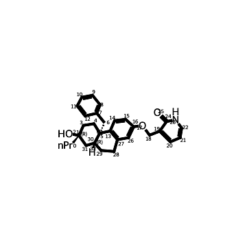 CCC[C@@]1(O)CC[C@@]2(Cc3ccccc3)c3ccc(OCc4ccc[nH]c4=O)cc3CC[C@@H]2C1